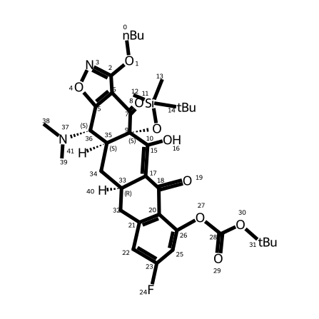 CCCCOc1noc2c1C(=O)[C@@]1(O[Si](C)(C)C(C)(C)C)C(O)=C3C(=O)c4c(cc(F)cc4OC(=O)OC(C)(C)C)C[C@H]3C[C@H]1[C@@H]2N(C)C